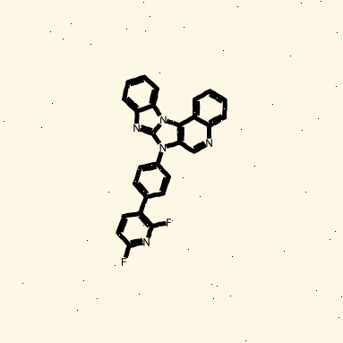 Fc1ccc(-c2ccc(-n3c4cnc5ccccc5c4n4c5ccccc5nc34)cc2)c(F)n1